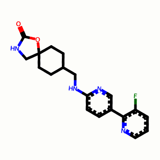 O=C1NCC2(CCC(CNc3ccc(-c4ncccc4F)cn3)CC2)O1